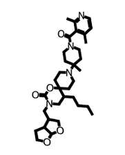 CCCCC1CN(CC2COC3OCCC23)C(=O)OC12CCN(C1(C)CCN(C(=O)c3c(C)ccnc3C)CC1)CC2